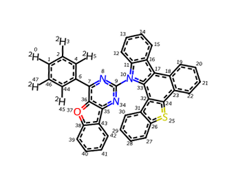 [2H]c1c([2H])c([2H])c(-c2nc(-n3c4ccccc4c4c5ccccc5c5sc6ccccc6c5c43)nc3c2oc2ccccc23)c([2H])c1[2H]